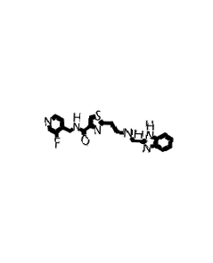 O=C(NCc1ccncc1F)c1csc(CCNCc2nc3ccccc3[nH]2)n1